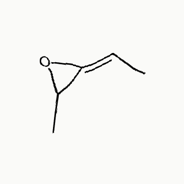 CC=C1OC1C